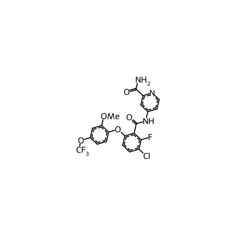 COc1cc(OC(F)(F)F)ccc1Oc1ccc(Cl)c(F)c1C(=O)Nc1ccnc(C(N)=O)c1